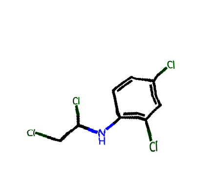 ClCC(Cl)Nc1ccc(Cl)cc1Cl